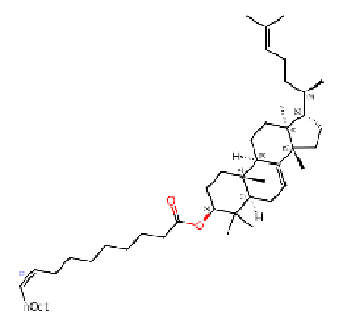 CCCCCCCC/C=C\CCCCCCCC(=O)O[C@H]1CC[C@]2(C)[C@H]3CC[C@@]4(C)[C@H]([C@H](C)CCC=C(C)C)CC[C@]4(C)C3=CC[C@H]2C1(C)C